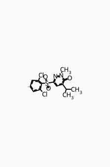 CC(C)c1cc(S(=O)(=O)c2c(Cl)c[c]cc2Cl)nn(C)c1=O